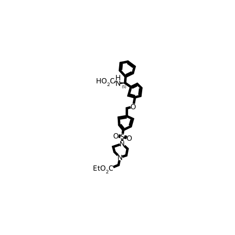 CCOC(=O)CN1CCN(S(=O)(=O)c2ccc(COc3cccc([C@@H](NC(=O)O)c4ccccc4)c3)cc2)CC1